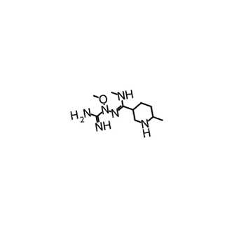 CN/C(=N\N(OC)C(=N)N)C1CCC(C)NC1